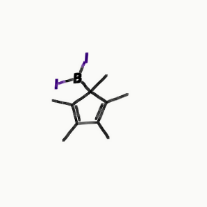 CC1=C(C)C(C)(B(I)I)C(C)=C1C